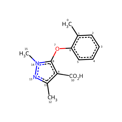 Cc1ccccc1Oc1c(C(=O)O)c(C)nn1C